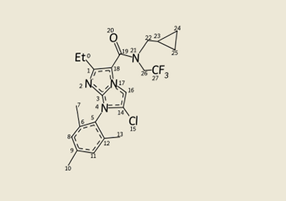 CCc1nc2n(-c3c(C)cc(C)cc3C)c(Cl)cn2c1C(=O)N(CC1CC1)CC(F)(F)F